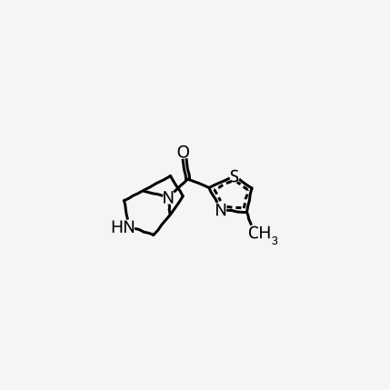 Cc1csc(C(=O)N2C3CCC2CNC3)n1